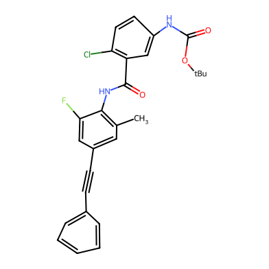 Cc1cc(C#Cc2ccccc2)cc(F)c1NC(=O)c1cc(NC(=O)OC(C)(C)C)ccc1Cl